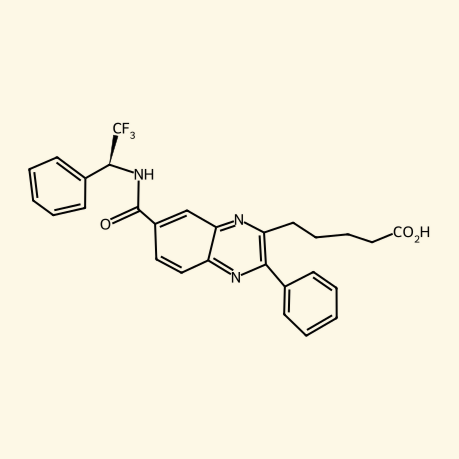 O=C(O)CCCCc1nc2cc(C(=O)N[C@@H](c3ccccc3)C(F)(F)F)ccc2nc1-c1ccccc1